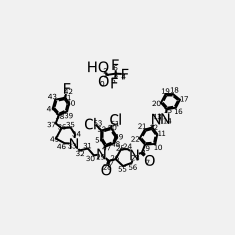 O=C(O)C(F)(F)F.O=C(c1ccc(N=Nc2ccccc2)cc1)N1CCC(C(=O)N(CCCN2CCC(Cc3ccc(F)cc3)CC2)c2ccc(Cl)c(Cl)c2)CC1